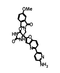 COc1ccc2c(c1)C(=O)N(C[C@@]1(c3cc4nc(-c5ccc(N)nc5)ccc4o3)NC(=O)NC1=O)C2